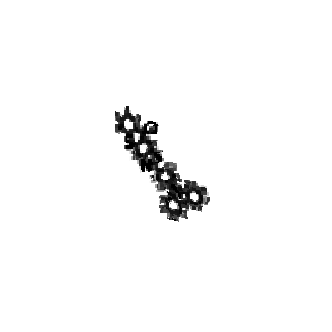 O=c1c2ccccc2sc2cc3nc(-c4ccc(-n5c6ccccc6c6ccccc65)cc4)sc3cc12